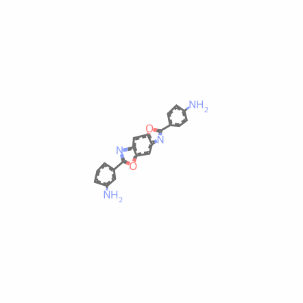 Nc1ccc(-c2nc3cc4oc(-c5cccc(N)c5)nc4cc3o2)cc1